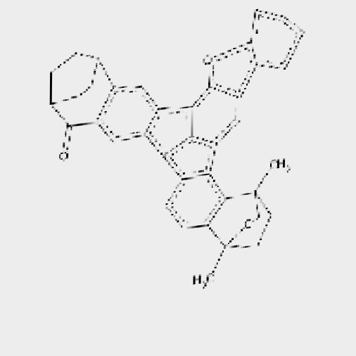 CC12CCC(C)(CC1)c1c2ccc2c1c1cc3c4ccccc4oc3c3c4cc5c(cc4n2c13)C(=O)C1CCC5CC1